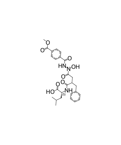 COC(=O)c1ccc(C(=O)NN(O)C(=O)CC(Cc2ccccc2)C(=O)N[C@@H](CC(C)C)C(=O)O)cc1